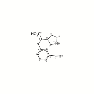 C#Cc1cccc(CC(C(=O)O)C2CCNC2)c1